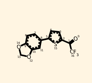 O=C(c1ccc(-c2ccc3c(c2)OCO3)s1)C(F)(F)F